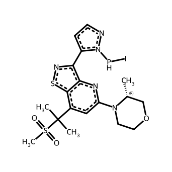 C[C@@H]1COCCN1c1cc(C(C)(C)S(C)(=O)=O)c2snc(-c3ccnn3PI)c2n1